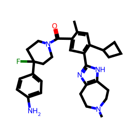 Cc1cc(C2CCC2)c(-c2nc3c([nH]2)CCN(C)CC3)cc1C(=O)N1CCC(F)(c2ccc(N)cc2)CC1